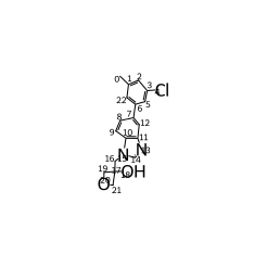 Cc1cc(Cl)cc(-c2ccc3c(c2)ncn3CC2(O)COC2)c1